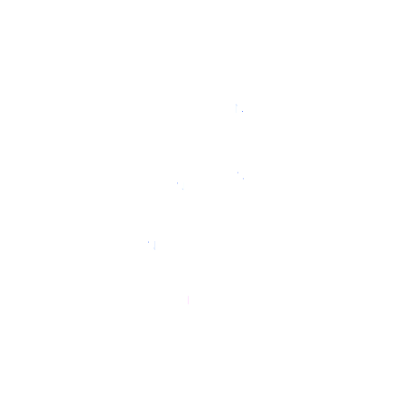 Nc1cn2cnc(I)cc2n1